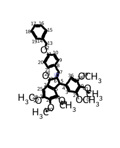 COc1cc(C2/C(=C/c3ccc(OCc4ccccc4)cc3)C(=O)c3cc(OC)c(OC)c(OC)c32)cc(OC)c1OC